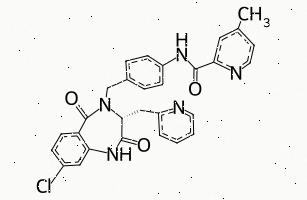 Cc1ccnc(C(=O)Nc2ccc(CN3C(=O)c4ccc(Cl)cc4NC(=O)[C@H]3Cc3ccccn3)cc2)c1